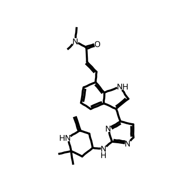 C=C1CC(Nc2nccc(-c3c[nH]c4c(/C=C/C(=O)N(C)C)cccc34)n2)CC(C)(C)N1